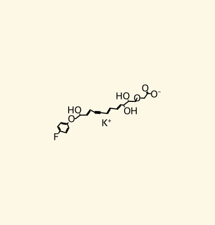 O=C([O-])COC[C@@H](O)[C@@H](O)C=CC=CC#CC=C[C@H](O)COc1ccc(F)cc1.[K+]